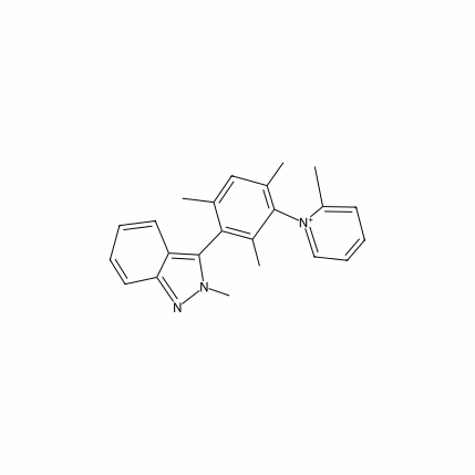 Cc1cc(C)c(-[n+]2ccccc2C)c(C)c1-c1c2ccccc2nn1C